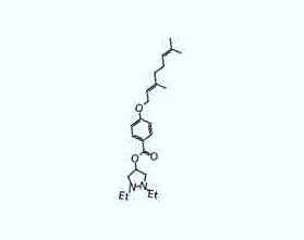 CCN1CC(OC(=O)c2ccc(OC/C=C(\C)CCC=C(C)C)cc2)CN1CC